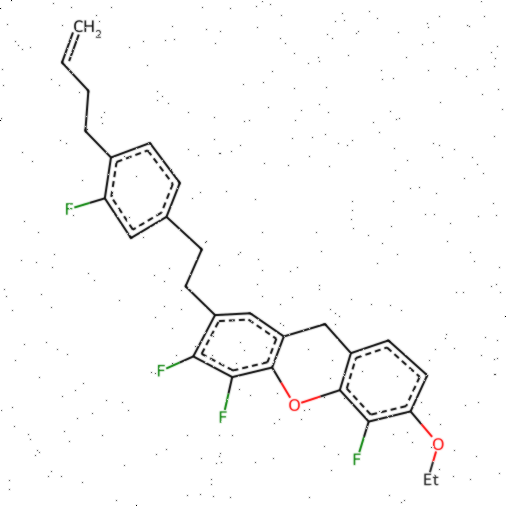 C=CCCc1ccc(CCc2cc3c(c(F)c2F)Oc2c(ccc(OCC)c2F)C3)cc1F